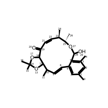 Cc1cc(C)c2c(c1)/C=C/C(C)C1OC(C)(C)OC1C(=O)/C=C\[C@@H](C)[C@H](C)OC2O